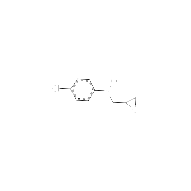 [O-][S+](CC1CO1)c1ccc(Cl)cc1